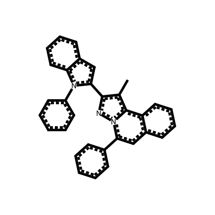 Cc1c(-c2cc3ccccc3n2-c2ccccc2)nn2c(-c3ccccc3)cc3ccccc3c12